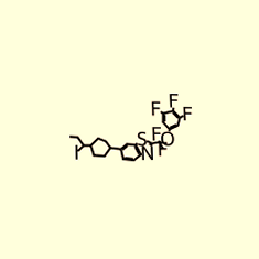 CCC(I)C1CCC(c2ccc3nc(C(F)(F)Oc4cc(F)c(F)c(F)c4)sc3c2)CC1